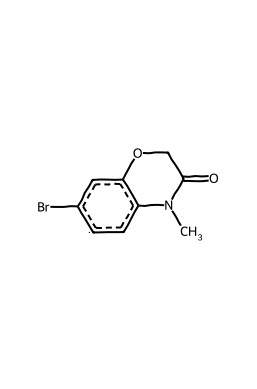 CN1C(=O)COc2cc(Br)[c]cc21